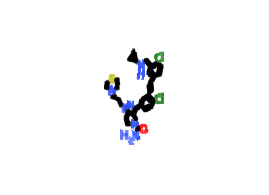 NC(=O)N1CCc2c(c(-c3ccc(Cl)c(C#Cc4ccc(Cl)c(CNC5CC5)c4)c3)nn2CCCN2CCSCC2)C1